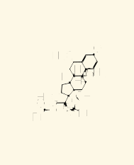 CCC(=O)OCC(=O)[C@@]1(OC(=O)CC)[C@@H](C)C[C@H]2[C@@H]3C[C@H](C)C4=CC(=O)C=C[C@]4(C)C34O[C@H]4C[C@@]21C